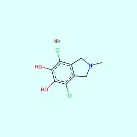 Br.CN1Cc2c(Cl)c(O)c(O)c(Cl)c2C1